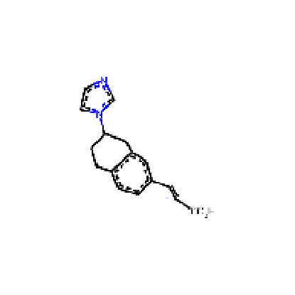 O=C(O)/C=C/c1ccc2c(c1)CC(n1ccnc1)CC2